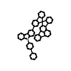 c1ccc(-c2ccc(-n3c4ccccc4c4cc(-c5ccc6c(c5)C5(c7ccccc7-6)c6ccccc6-c6c5cc5c7c(cccc67)-c6ccccc6-5)ccc43)cc2)cc1